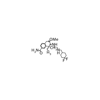 CO[C@@H]1Cc2ccc(C(N)=O)cc2C(C)(C)[C@H]1NCCNCC1CCC(F)(F)CC1